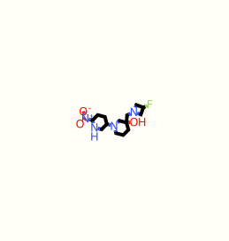 O=[N+]([O-])C1CCC(N2CCCC(O)(CN3CC(F)C3)C2)CN1